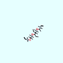 C=C[Si](C)(C)OC(C)(C)[Si](C)(C)OC(CC)C(C)(CC)[Si](C)(C)OC(C)[Si](C)(C)C=C